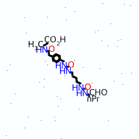 CCCC(C=O)NC(=O)NCCCCCNC(=O)NCc1ccc(CC(=O)NC(C)CC(=O)O)cc1